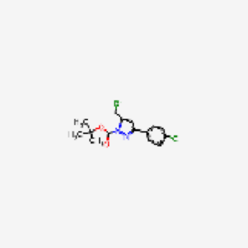 CC(C)(C)OC(=O)n1nc(-c2ccc(Cl)cc2)cc1CBr